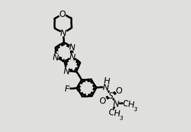 CN(C)S(=O)(=O)Nc1ccc(F)c(-c2cn3nc(N4CCOCC4)cnc3n2)c1